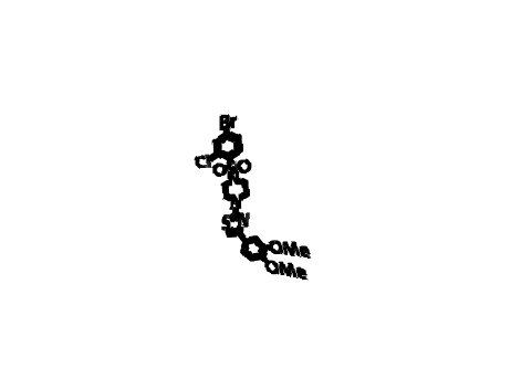 COc1ccc(-c2csc(N3CCN(S(=O)(=O)c4ccc(Br)cc4Cl)CC3)n2)cc1OC